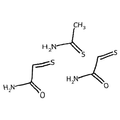 CC(N)=S.NC(=O)C=S.NC(=O)C=S